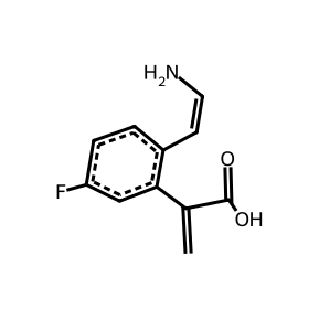 C=C(C(=O)O)c1cc(F)ccc1/C=C\N